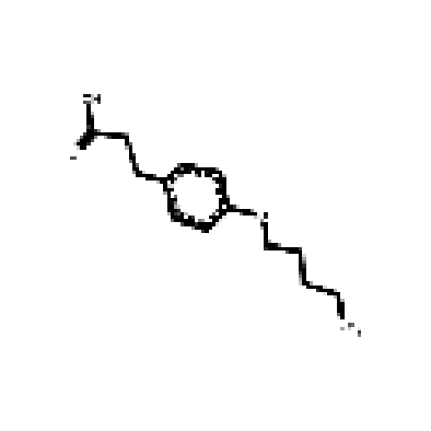 CCCCCOc1ccc(CCC(=O)O)cc1